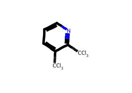 ClC(Cl)(Cl)c1cccnc1C(Cl)(Cl)Cl